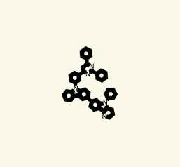 c1ccc(-c2cc(-c3cccc(-n4c5ccccc5c5cc(-c6ccc7c8ncccc8n(-c8ccccc8)c7c6)ccc54)c3)nc(-c3ccccc3)n2)cc1